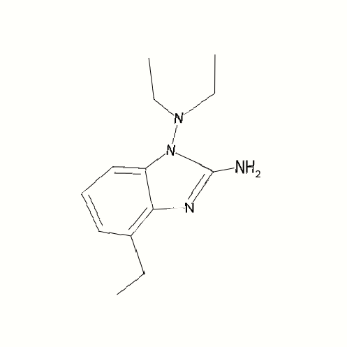 CCc1cccc2c1nc(N)n2N(CC)CC